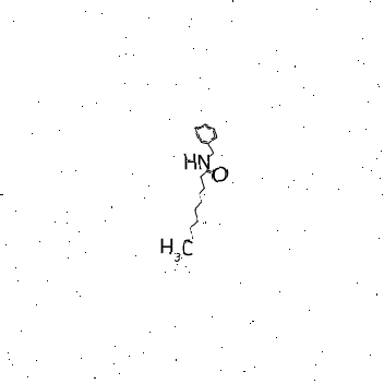 CCCCCCCCCC(=O)NCc1ccccc1